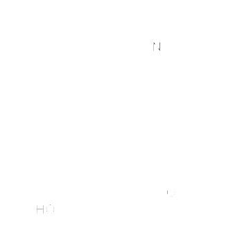 Oc1ccc2c(-c3cccnc3)coc2c1